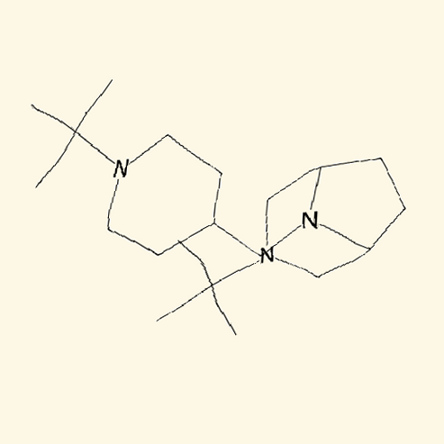 CC(C)(C)N1CCC(CN2C3CCC2CN(C(C)(C)C)C3)CC1